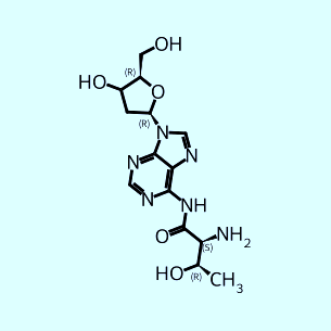 C[C@@H](O)[C@H](N)C(=O)Nc1ncnc2c1ncn2[C@H]1CC(O)[C@@H](CO)O1